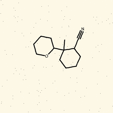 CC1(C2CCCCO2)CCCC[C]1C#N